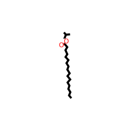 CCCCCCCCCCCCCCCCCC(=O)OCC(C)C